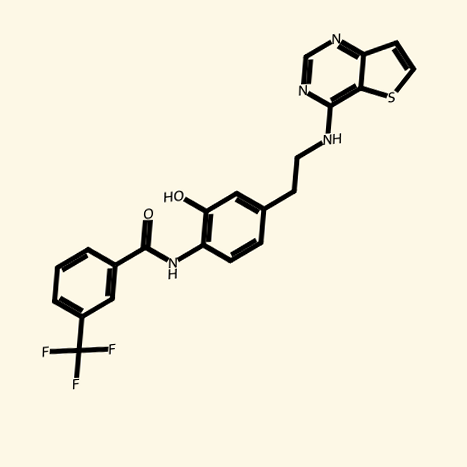 O=C(Nc1ccc(CCNc2ncnc3ccsc23)cc1O)c1cccc(C(F)(F)F)c1